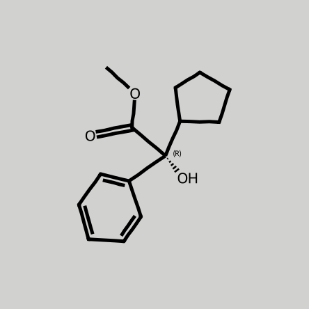 COC(=O)[C@](O)(c1ccccc1)C1CCCC1